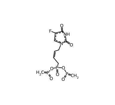 C=P(=O)OP(=O)(C/C=C\Cn1cc(F)c(=O)[nH]c1=O)OP(=C)=O